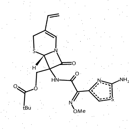 C=CC1=CN2C(=O)C(COC(=O)C(C)(C)C)(NC(=O)C(=NOC)c3csc(N)n3)[C@@H]2SC1